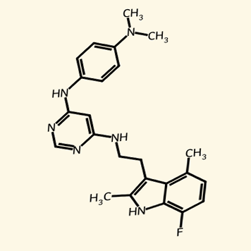 Cc1[nH]c2c(F)ccc(C)c2c1CCNc1cc(Nc2ccc(N(C)C)cc2)ncn1